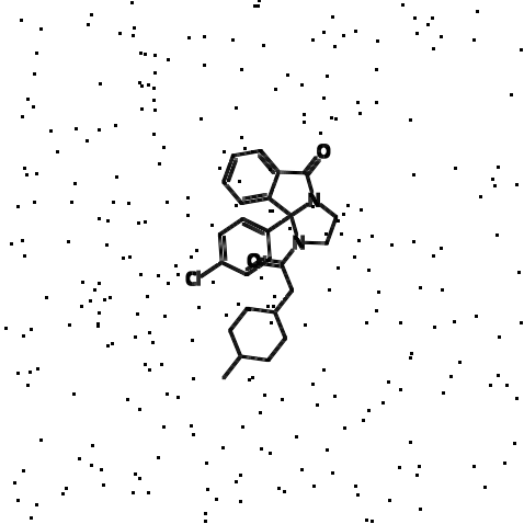 CC1CCC(CC(=O)N2CCN3C(=O)c4ccccc4C23c2ccc(Cl)cc2)CC1